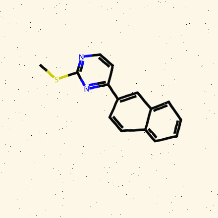 CSc1nccc(-c2ccc3ccccc3c2)n1